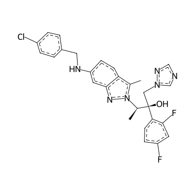 Cc1c2ccc(NCc3ccc(Cl)cc3)cc2nn1[C@H](C)[C@](O)(Cn1cncn1)c1ccc(F)cc1F